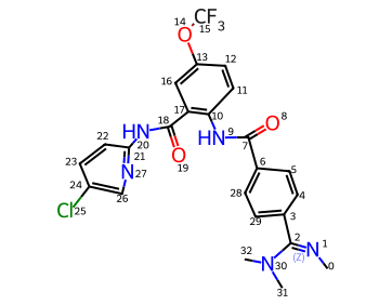 C/N=C(/c1ccc(C(=O)Nc2ccc(OC(F)(F)F)cc2C(=O)Nc2ccc(Cl)cn2)cc1)N(C)C